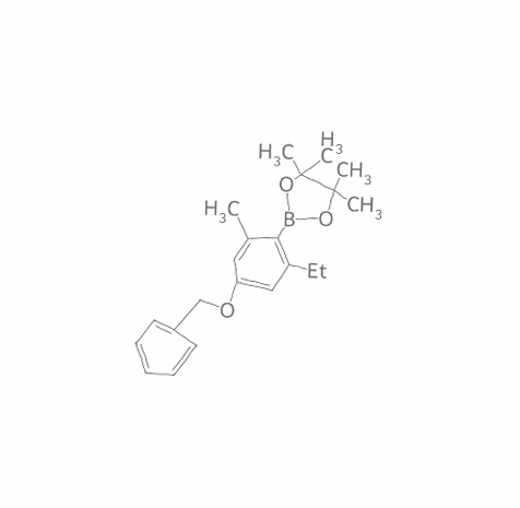 CCc1cc(OCc2ccccc2)cc(C)c1B1OC(C)(C)C(C)(C)O1